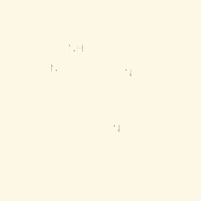 Cc1cccc(-c2cccnc2-c2ccc3nc[nH]c3c2)n1